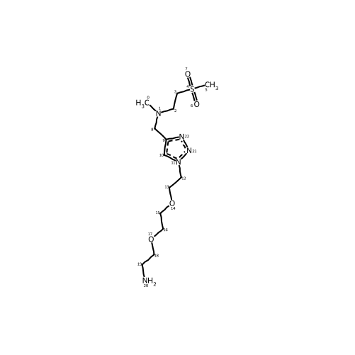 CN(CCS(C)(=O)=O)Cc1cn(CCOCCOCCN)nn1